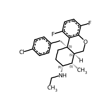 CCN[C@@H]1CC[C@@]2(Cc3ccc(Cl)cc3)c3c(F)ccc(F)c3OC[C@H]2[C@@H]1C